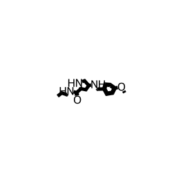 CCCNC(=O)C1CC(NCc2ccc(OC)cc2)CN1